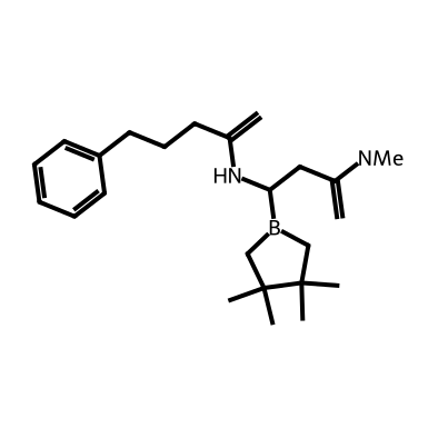 C=C(CC(NC(=C)CCCc1ccccc1)B1CC(C)(C)C(C)(C)C1)NC